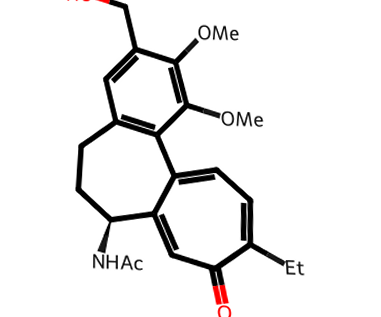 CCc1ccc2c(cc1=O)[C@@H](NC(C)=O)CCc1cc(CO)c(OC)c(OC)c1-2